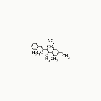 C=Cc1cc(C)c(/C(C)=C(C)/C(C)=C/c2ccccc2C)c(CCC#N)c1